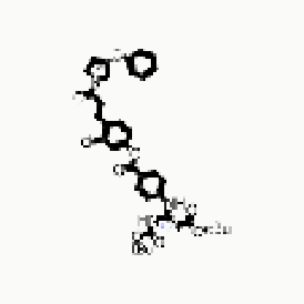 CC(C)(C)OC(=O)/N=C(/NC(=O)OC(C)(C)C)Nc1ccc(C(=O)Oc2ccc(CCC(=O)N3CC[C@H](Oc4ccccc4)C3)c(Cl)c2)cc1